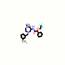 Cc1cccc(CN2CCN(C)CC(NC(=O)C(OCC(F)(F)F)c3ccccc3)C2)c1